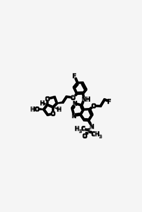 CS(C)(=O)=Nc1cc(OCCF)c2c(Nc3ccc(F)cc3OCC[C@@H]3CO[C@H]4[C@@H]3OC[C@H]4O)ncnc2c1